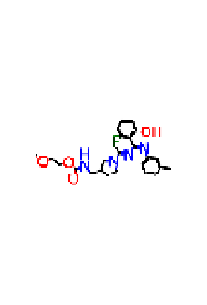 COCCOC(=O)NC[C@@H]1CCN(/C(C)=N/C(=N\c2cccc(C)c2)c2c(O)cccc2F)C1